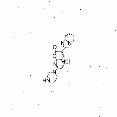 Cl.O=c1oc2nc(N3CCCNCC3)ccc2cc1-c1cn2ccccc2n1